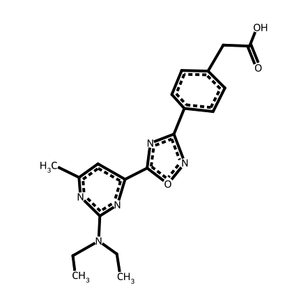 CCN(CC)c1nc(C)cc(-c2nc(-c3ccc(CC(=O)O)cc3)no2)n1